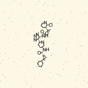 C[C@@H](OC(=O)Nc1c(-c2ccc(NC(=O)[C@@H]3C[C@H]3c3ccccc3)cn2)nnn1C)c1cccnc1Cl